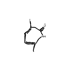 Cc1ccc(I)c(=O)[nH]1